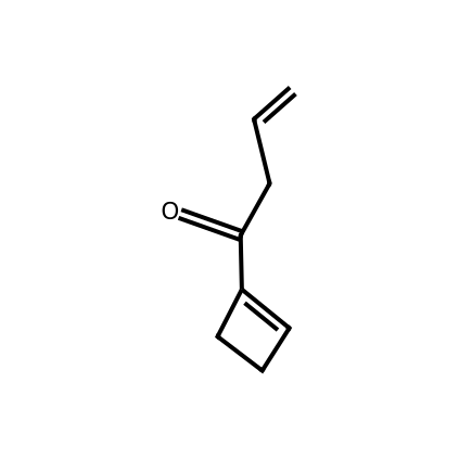 C=CCC(=O)C1=CCC1